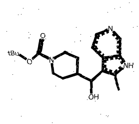 Cc1[nH]c2cnccc2c1C(O)C1CCN(C(=O)OC(C)(C)C)CC1